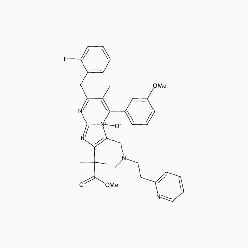 COC(=O)C(C)(C)C1=C(CN(C)CCc2ccccn2)[N+]2([O-])C(=N1)N=C(Cc1ccccc1F)C(C)=C2c1cccc(OC)c1